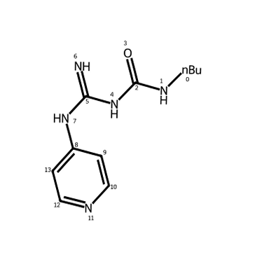 CCCCNC(=O)NC(=N)Nc1ccncc1